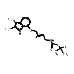 Cc1[nH]c2c(SC/C(F)=C/CNC(=O)OC(C)(C)C)cccc2c1C